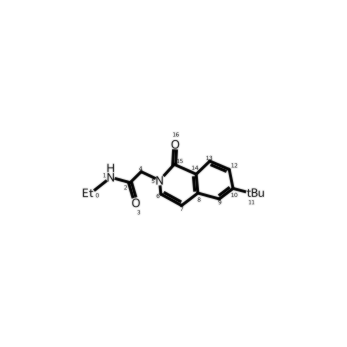 CCNC(=O)Cn1ccc2cc(C(C)(C)C)ccc2c1=O